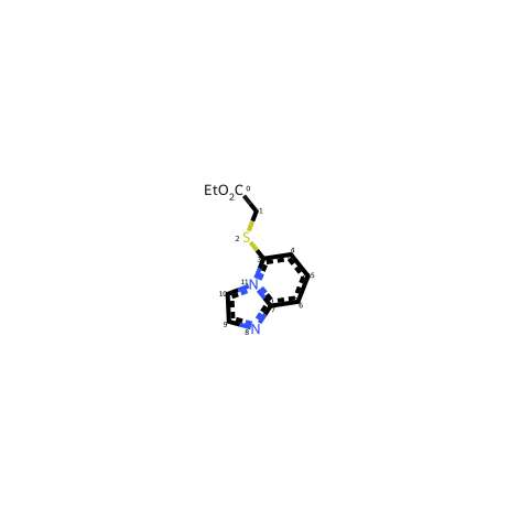 CCOC(=O)CSc1cccc2nccn12